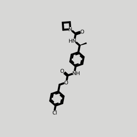 C[C@H](NC(=O)N1CCC1)c1ccc(NC(=O)OCc2ccc(Cl)cc2)cc1